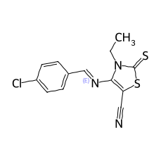 CCn1c(/N=C/c2ccc(Cl)cc2)c(C#N)sc1=S